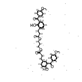 COc1ccc(C(=O)c2cc(CCC(=O)OCCCOC(=O)CCc3cccc(C(=O)c4ccc(OC)cc4)c3O)ccc2O)cc1